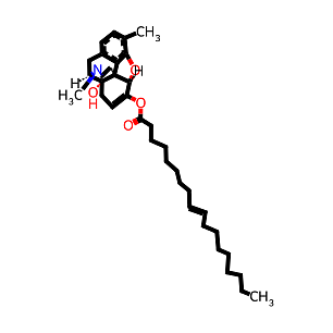 CCCCCCCC/C=C/CCCCCCCC(=O)OC1=CC[C@@]2(O)[C@H]3Cc4ccc(C)c5c4[C@@]2(CCN3C)[C@H]1O5